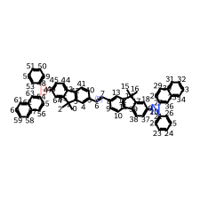 CC1(C)c2cc(/C=C/c3ccc4c(c3)C(C)(C)c3cc(N(c5ccccc5)c5ccc6ccccc6c5)ccc3-4)ccc2-c2ccc(B(c3ccccc3)c3ccc4ccccc4c3)cc21